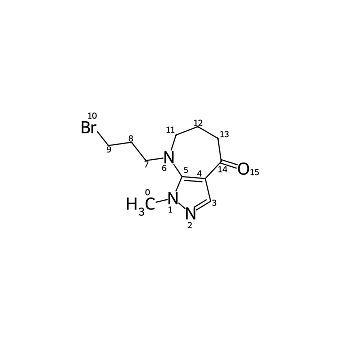 Cn1ncc2c1N(CCCBr)CCCC2=O